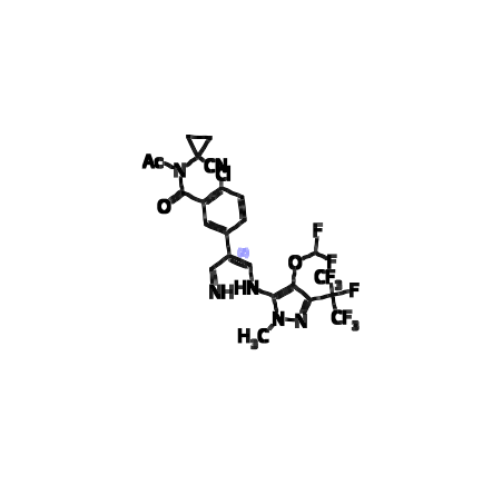 CC(=O)N(C(=O)c1cc(/C(C=N)=C/Nc2c(OC(F)F)c(C(F)(C(F)(F)F)C(F)(F)F)nn2C)ccc1Cl)C1(C#N)CC1